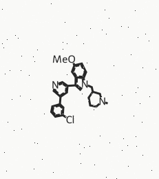 COc1ccc2c(c1)c(-c1cncc(-c3cccc(Cl)c3)c1)cn2CC1CCCN(C)C1